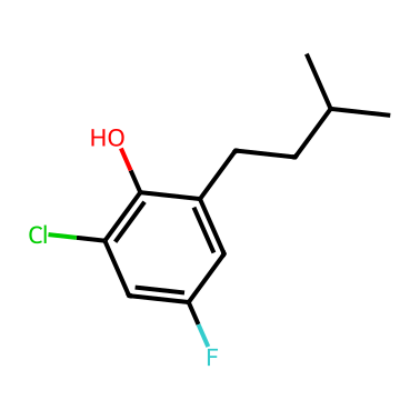 CC(C)CCc1cc(F)cc(Cl)c1O